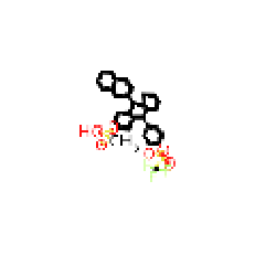 CS(=O)(=O)O.O=S(=O)(Oc1ccc(-c2c3ccccc3c(-c3ccc4ccccc4c3)c3ccccc23)cc1)C(F)(F)F